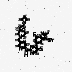 Cc1nc2c(F)cc(-c3nc(Nc4ccc(CN5CCO[C@](C)(CCN6CCC6)C5)cn4)ncc3F)cc2n1C(C)C